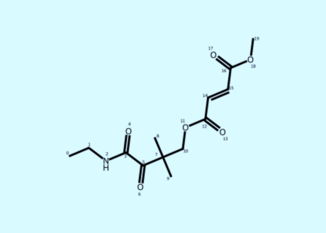 CCNC(=O)C(=O)C(C)(C)COC(=O)/C=C/C(=O)OC